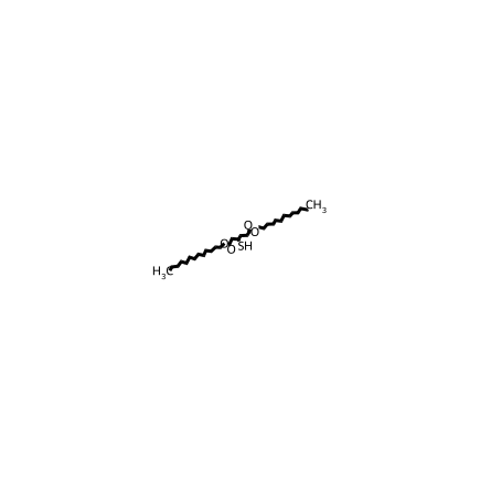 CCCCCCCCCCCCCOC(=O)CCC(S)CC(=O)OCCCCCCCCCCCCC